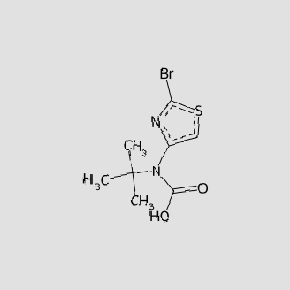 CC(C)(C)N(C(=O)O)c1csc(Br)n1